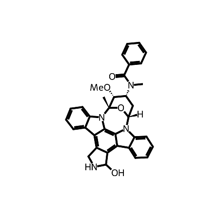 CO[C@@H]1[C@H](N(C)C(=O)c2ccccc2)C[C@H]2O[C@]1(C)n1c3ccccc3c3c4c(c5c6ccccc6n2c5c31)C(O)NC4